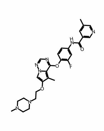 Cc1cncc(C(=O)Nc2ccc(Oc3ncnn4cc(OCCN5CCN(C)CC5)c(C)c34)c(F)c2)c1